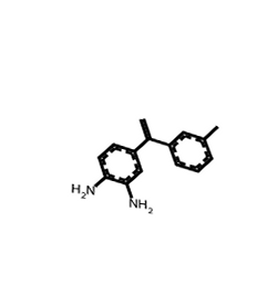 C=C(c1cccc(C)c1)c1ccc(N)c(N)c1